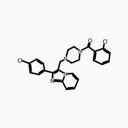 O=C(c1ccccc1Cl)N1CCN(Cc2c(-c3ccc(Cl)cc3)nc3ccccn23)CC1